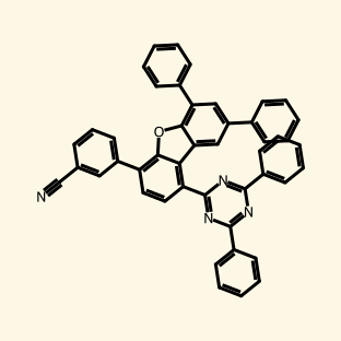 N#Cc1cccc(-c2ccc(-c3nc(-c4ccccc4)nc(-c4ccccc4)n3)c3c2oc2c(-c4ccccc4)cc(-c4ccccc4)cc23)c1